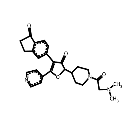 CN(C)CC(=O)N1CCC(C2OC(c3ccncc3)=C(c3ccc4c(c3)CCC4=O)C2=O)CC1